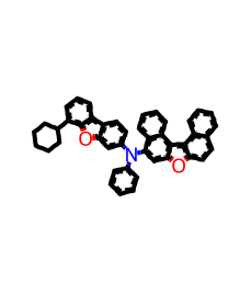 c1ccc(N(c2ccc3c(c2)oc2c(C4CCCCC4)cccc23)c2cc3oc4ccc5ccccc5c4c3c3ccccc23)cc1